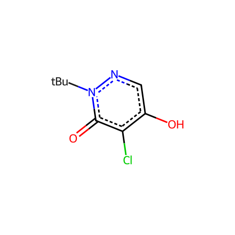 CC(C)(C)n1ncc(O)c(Cl)c1=O